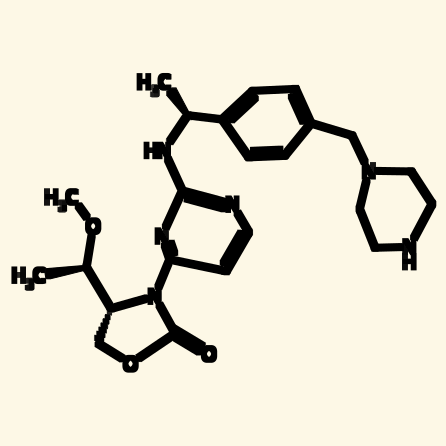 CO[C@H](C)[C@H]1COC(=O)N1c1ccnc(N[C@@H](C)c2ccc(CN3CCNCC3)cc2)n1